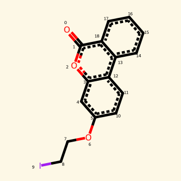 O=c1oc2cc(OCCI)ccc2c2ccccc12